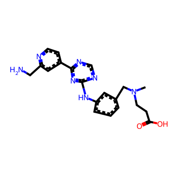 CN(CCC(=O)O)Cc1cccc(Nc2ncnc(-c3ccnc(CN)c3)n2)c1